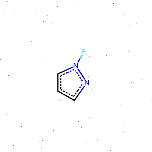 Fn1cc[c]n1